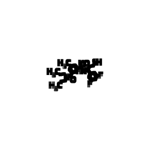 CCCN(CCC)C(=O)c1cc(C)cc(C(=O)NC(c2cc(F)cc(F)c2)[C@@H](O)CS)c1